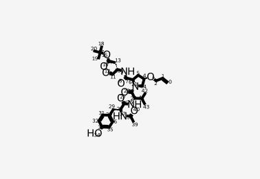 C=CCO[C@@H]1CC(C(=O)N[C@H](C=O)CC(=O)OC(C)(C)C)N(C(=O)[C@@H](NC(=O)[C@H](Cc2ccc(O)cc2)NC(C)=O)C(C)C)C1